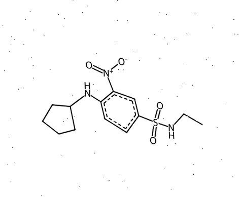 CCNS(=O)(=O)c1ccc(NC2CCCC2)c([N+](=O)[O-])c1